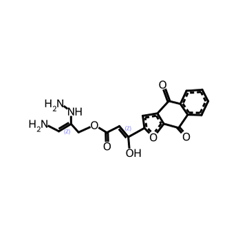 N/C=C(/COC(=O)/C=C(\O)c1cc2c(o1)C(=O)c1ccccc1C2=O)NN